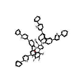 N#Cc1c(-n2c3ccc(-c4ccc(-c5ccccc5)nc4)cc3c3cc(-c4ccc(-c5ccccc5)nc4)ccc32)ccc(-c2c(F)c(F)c(F)c(F)c2F)c1-n1c2ccc(-c3ccc(-c4ccccc4)nc3)cc2c2cc(-c3ccc(-c4ccccc4)nc3)ccc21